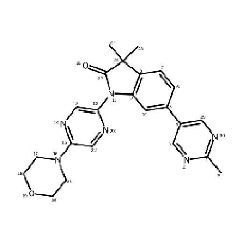 Cc1ncc(-c2ccc3c(c2)N(c2cnc(N4CCOCC4)cn2)C(=O)C3(C)C)cn1